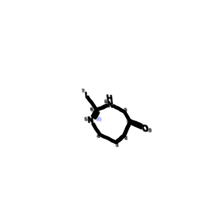 O=C1CCC/N=C(/I)NC1